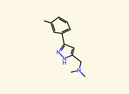 Cc1cccc(-c2cc(CN(C)C)[nH]n2)c1